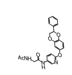 CC(=O)NCC(=O)Nc1ccc(Oc2ccc3c(c2)OCC(c2ccccc2)O3)nc1